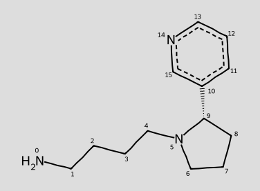 NCCCCN1CCC[C@H]1c1cccnc1